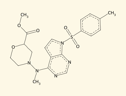 COC(=O)C1CN(N(C)c2ncnc3c2ccn3S(=O)(=O)c2ccc(C)cc2)CCO1